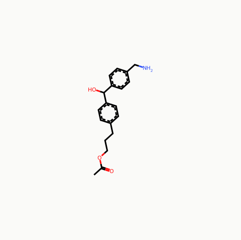 CC(=O)OCCCc1ccc(C(O)c2ccc(CN)cc2)cc1